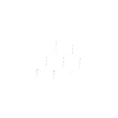 C=C1CCc2c(F)c(F)cc3c(=O)c(C(=O)O)cn1c23